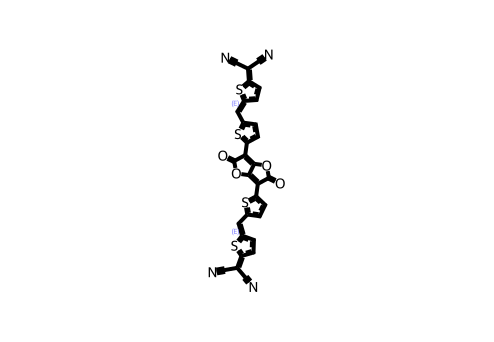 N#CC(C#N)=c1cc/c(=C\c2ccc(C3=C4OC(=O)C(c5ccc(/C=c6\ccc(=C(C#N)C#N)s6)s5)=C4OC3=O)s2)s1